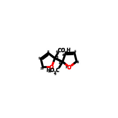 O=C(O)C1(C2(C(=O)O)C=CCO2)C=CCO1